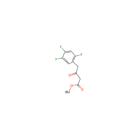 CC(C)(C)OC(=O)CC(=O)Cc1cc(F)c(F)cc1F